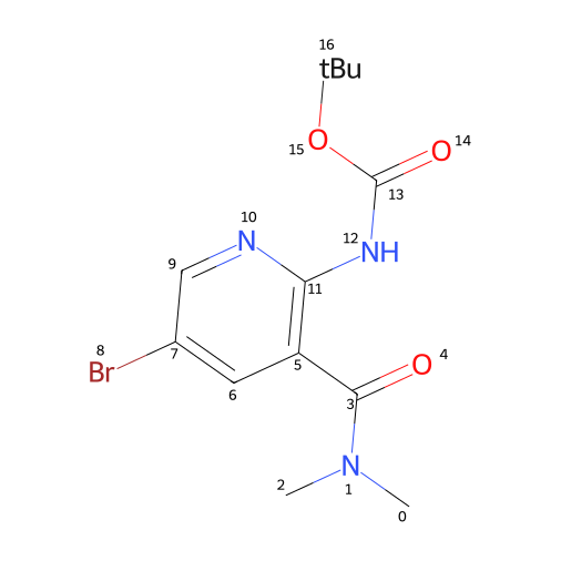 CN(C)C(=O)c1cc(Br)cnc1NC(=O)OC(C)(C)C